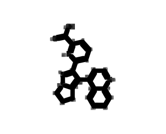 O=C(O)c1cccc(-c2nn3c(c2-c2ccnc4ccccc24)CCC3)n1